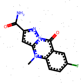 Cn1c2ccc(F)cc2c(=O)n2nc(C(N)=O)cc12